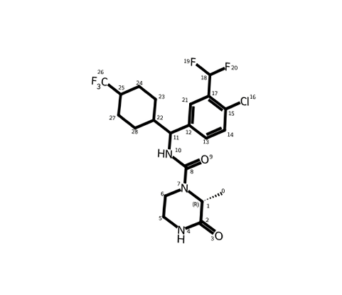 C[C@@H]1C(=O)NCCN1C(=O)NC(c1ccc(Cl)c(C(F)F)c1)C1CCC(C(F)(F)F)CC1